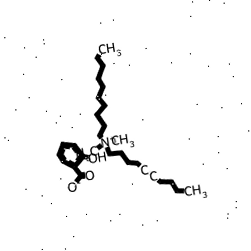 CCCCCCCCCC[N+](C)(C)CCCCCCCCCC.O=C([O-])c1ccccc1O